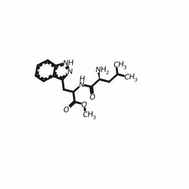 COC(=O)C(Cc1n[nH]c2ccccc12)NC(=O)[C@@H](N)CC(C)C